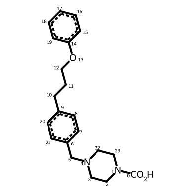 O=C(O)N1CCN(Cc2ccc(CCCOc3ccccc3)cc2)CC1